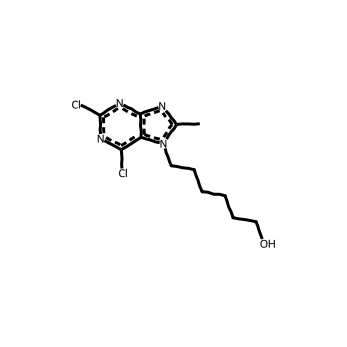 Cc1nc2nc(Cl)nc(Cl)c2n1CCCCCCO